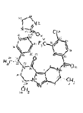 C[C@@H]1Cc2nn3c(c2CN1C(=O)c1ccc(Cl)c(C(F)(F)F)c1)C(=O)N([C@H](C)c1ccc([S@@]2(=O)=NCCC2)nc1)C[C@H]3C